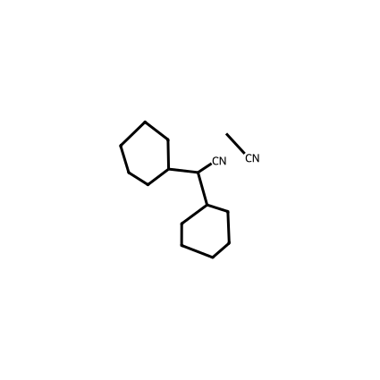 CC#N.N#CC(C1CCCCC1)C1CCCCC1